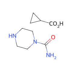 NC(=O)N1CCNCC1.O=C(O)C1CC1